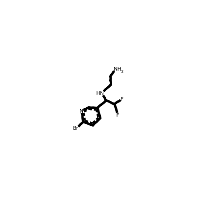 NCCNC(c1ccc(Br)nc1)C(F)F